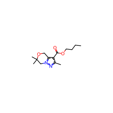 CCCCOC(=O)c1c(C)nn2c1COC(C)(C)C2